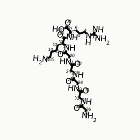 N=C(N)NCCC[C@H](NC(=O)[C@H](CCCCN)NC(=O)CNC(=O)CNC(=O)CNC(=O)CNC(=O)CN)C(=O)O